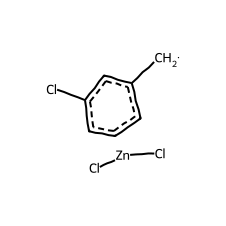 [CH2]c1cccc(Cl)c1.[Cl][Zn][Cl]